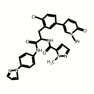 CC(C)n1cc(-c2ccc(Cl)c(CC(NC(=O)c3ccnn3C)C(=O)Nc3ccc(-n4cccn4)cc3)c2)ccc1=O